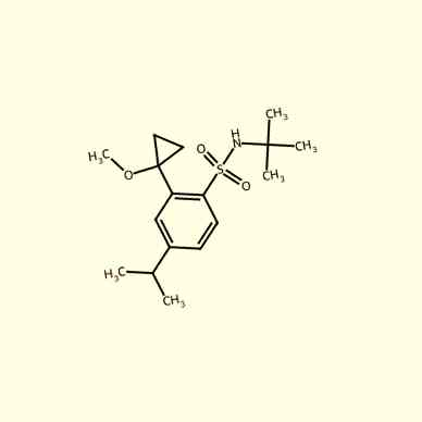 COC1(c2cc(C(C)C)ccc2S(=O)(=O)NC(C)(C)C)CC1